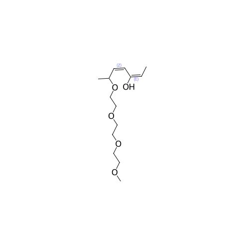 C/C=C(O)\C=C/C(C)OCCOCCOCCOC